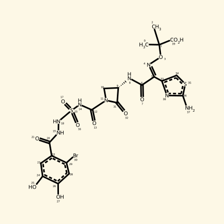 CC(C)(ON=C(C(=O)N[C@H]1CN(C(=O)NS(=O)(=O)NNC(=O)c2cc(O)c(O)cc2Br)C1=O)c1csc(N)n1)C(=O)O